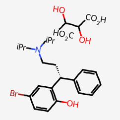 CC(C)N(CC[C@H](c1ccccc1)c1cc(Br)ccc1O)C(C)C.O=C(O)C(O)C(O)C(=O)O